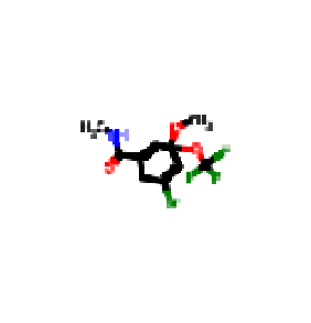 CNC(=O)C1=CC(OC)(OC(F)(F)F)C=C(Br)C1